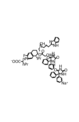 CCCC(CCC)C(=O)[O-].COCC(=O)O[C@]1(CCN(C)CCCc2nc3ccccc3[nH]2)CCc2cc(F)ccc2[C@@H]1C(C)C.O=C1NC(=O)C(c2ccccc2)(c2ccccc2)N1.O=C1NC(=O)C(c2ccccc2)(c2ccccc2)N1.[Na+]